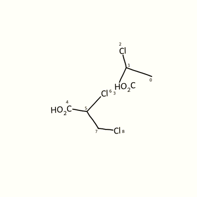 CC(Cl)C(=O)O.O=C(O)C(Cl)CCl